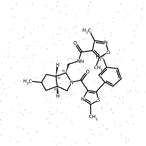 Cc1cccc(-c2sc(C)nc2C(=O)N2C[C@@H]3CC(C)C[C@@H]3[C@H]2CNC(=O)c2c(C)noc2C)c1